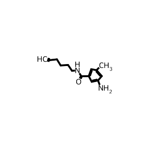 C#CCCCCNC(=O)c1cc(C)cc(N)c1